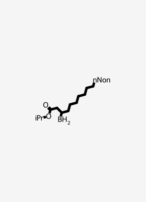 BC(CCCCCCCCCCCCCCCC)CC(=O)OC(C)C